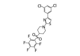 O=S(=O)(c1c(F)c(F)c(F)c(F)c1F)C1CCN(c2nc(-c3cc(Cl)cc(Cl)c3)cs2)CC1